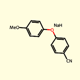 COc1ccc(Oc2ccc(C#N)cc2)cc1.[NaH]